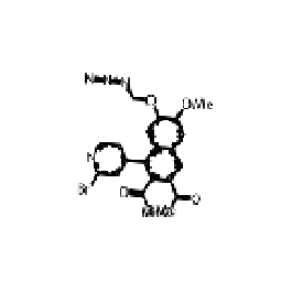 COC(=O)c1cc2cc(OC)c(OCN=[N+]=[N-])cc2c(-c2ccnc(Br)c2)c1C(=O)OC